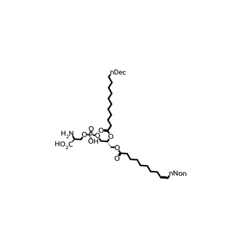 CCCCCCCCC/C=C\CCCCCCCC(=O)OC[C@H](COP(=O)(O)OC[C@H](N)C(=O)O)OC(=O)CCCCCCCCCCCCCCCCCCCC